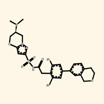 CC(C)c1cc(-c2ccc3c(c2)COCC3)cc(C(C)C)c1CC(=O)NS(=O)(=O)c1cc2n(n1)C[C@H](N(C)C)CO2